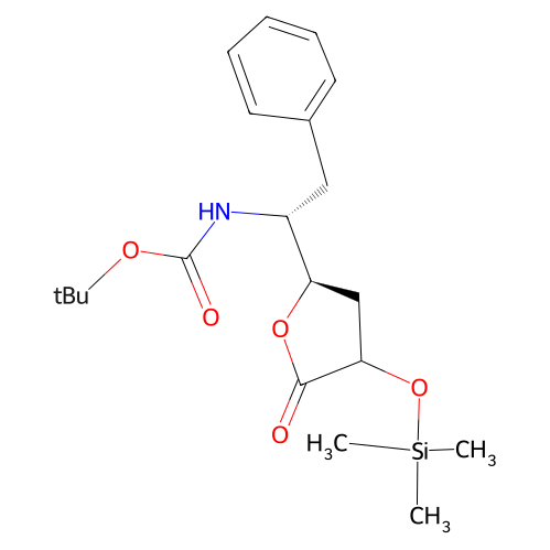 CC(C)(C)OC(=O)N[C@H](Cc1ccccc1)[C@H]1CC(O[Si](C)(C)C)C(=O)O1